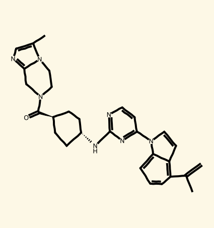 C=C(C)c1cccc2c1ccn2-c1ccnc(N[C@H]2CC[C@H](C(=O)N3CCn4c(C)cnc4C3)CC2)n1